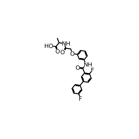 CC(NC(=O)COc1cccc(NC(=O)c2cc(-c3cccc(F)c3)ccc2F)c1)C(=O)O